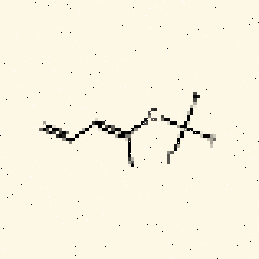 C=C/C=C(\C)OC(F)(F)F